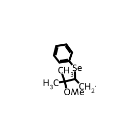 [CH2]C([Se]c1ccccc1)C(C)(C)OC